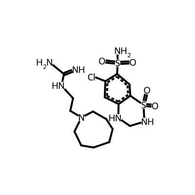 N=C(N)NCCN1CCCCCCC1.NS(=O)(=O)c1cc2c(cc1Cl)NCNS2(=O)=O